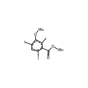 CC(C)(C)OC(=O)c1c(I)cc(I)c(OC(C)(C)C)c1I